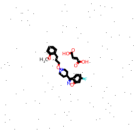 COc1ccccc1CCCON1CCC(c2noc3cc(F)ccc23)CC1.O=C(O)C=CC(=O)O